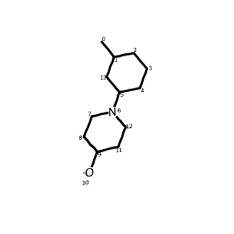 CC1CCCC(N2CCC([O])CC2)C1